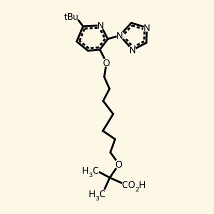 CC(C)(OCCCCCCCOc1ccc(C(C)(C)C)nc1-n1cncn1)C(=O)O